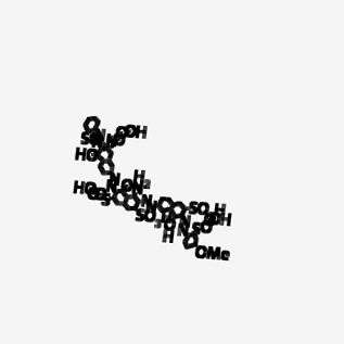 COc1ccc(N=Nc2c(S(=O)(=O)O)cc3ccc(N=Nc4c(S(=O)(=O)O)cc5cc(SOOO)c(N=Nc6ccc7c(O)c(N=Nc8ccccc8S(=O)(=O)O)c(SOOO)cc7c6)c(O)c5c4N)cc3c2O)c(SOOO)c1